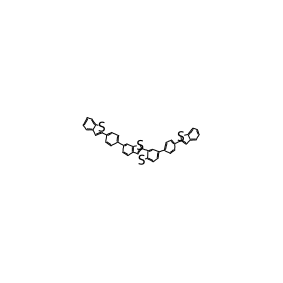 c1ccc2sc(-c3ccc(-c4ccc5c(c4)sc4c6cc(-c7ccc(-c8cc9ccccc9s8)cc7)ccc6sc54)cc3)cc2c1